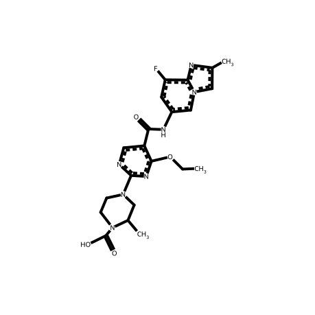 CCOc1nc(N2CCN(C(=O)O)C(C)C2)ncc1C(=O)Nc1cc(F)c2nc(C)cn2c1